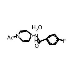 CC(=O)N1C=CN(NC(=O)c2ccc(F)cc2)C=C1.O